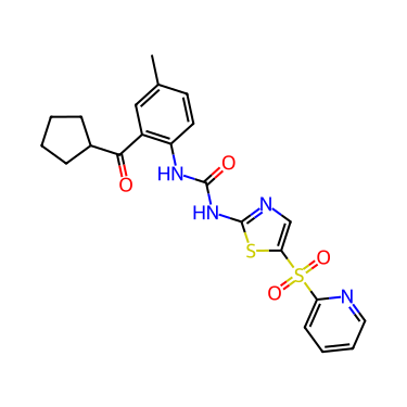 Cc1ccc(NC(=O)Nc2ncc(S(=O)(=O)c3ccccn3)s2)c(C(=O)C2CCCC2)c1